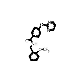 O=C(NCc1ccccc1OC(F)(F)F)c1ccc(Oc2ncccn2)cc1